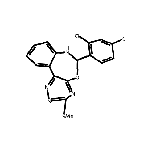 CSc1nnc2c(n1)OC(c1ccc(Cl)cc1Cl)Nc1ccccc1-2